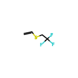 C=CSCC(F)(F)F